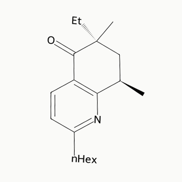 CCCCCCc1ccc2c(n1)[C@H](C)C[C@@](C)(CC)C2=O